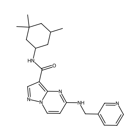 CC1CC(NC(=O)c2cnn3ccc(NCc4cccnc4)nc23)CC(C)(C)C1